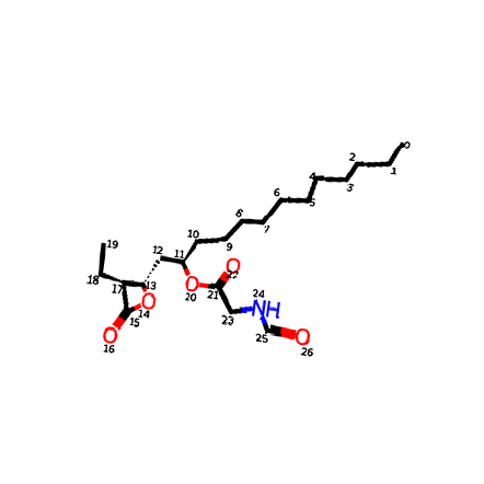 CCCCCCCCCCC[C@H](C[C@@H]1OC(=O)[C@H]1CC)OC(=O)CNC=O